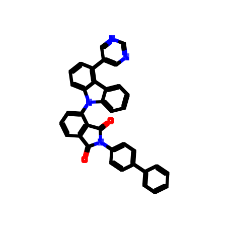 O=C1c2cccc(-n3c4ccccc4c4c(-c5cncnc5)cccc43)c2C(=O)N1c1ccc(-c2ccccc2)cc1